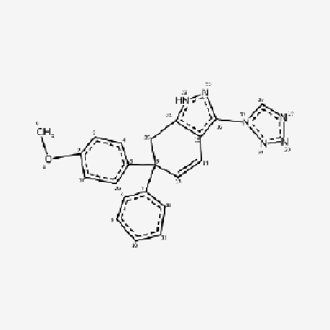 COc1ccc(C2(c3ccccc3)C=Cc3c(-n4cnnn4)n[nH]c3C2)cc1